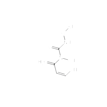 C=C(/C=C\C)N(C)C(=O)NOC